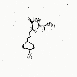 CNC(=O)[C@H](CCCC1CCC(C(F)(F)F)CC1)OC(=O)NC(C)(C)C